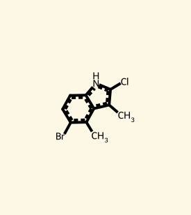 Cc1c(Br)ccc2[nH]c(Cl)c(C)c12